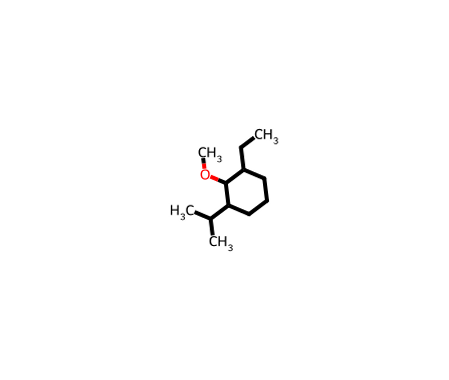 CCC1CCCC(C(C)C)C1OC